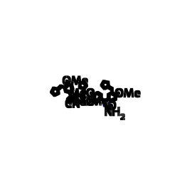 COc1ccc(/C(=C\C(N)=O)c2ccc(OC)c(OC)c2)cc1C=C1CCCC1.COc1ccc(C(=CC#N)c2ccc(OC)c(C=C3CCCC3)c2)cc1C=C1CCCC1